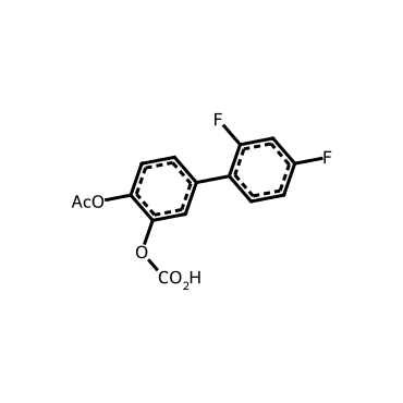 CC(=O)Oc1ccc(-c2ccc(F)cc2F)cc1OC(=O)O